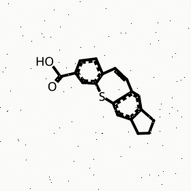 O=C(O)c1ccc2c(c1)Sc1cc3c(cc1C=C2)CCC3